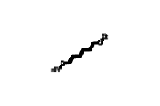 [CH2]COCCCCCCOC[CH]C